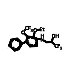 CCOc1c(NCC(O)C(F)(F)F)ccc(-c2ccccc2)c1OC(F)(F)F